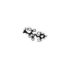 O=C(O)c1c(C2CC2)oc(=O)n1CCc1c(Cl)cccc1Cl